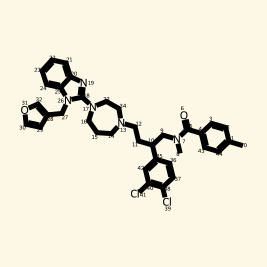 Cc1ccc(C(=O)N(C)CC(CCN2CCCN(c3nc4ccccc4n3Cc3ccoc3)CC2)c2ccc(Cl)c(Cl)c2)cc1